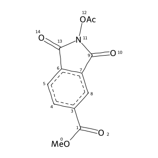 COC(=O)c1ccc2c(c1)C(=O)N(OC(C)=O)C2=O